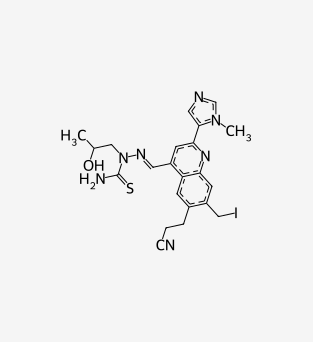 CC(O)CN(/N=C/c1cc(-c2cncn2C)nc2cc(CI)c(CCC#N)cc12)C(N)=S